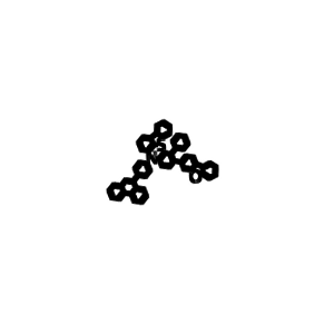 c1ccc(-c2cc(N(c3ccc(-c4cc5ccccc5c5ccccc45)cc3)c3cccc4c3sc3ccccc34)ccc2-c2ccc3c(c2)oc2ccccc23)cc1